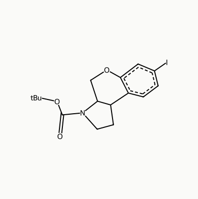 CC(C)(C)OC(=O)N1CCC2c3ccc(I)cc3OCC21